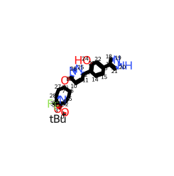 CC(C)(C)OC(=O)N1C2C[C@@H](Oc3ccc(-c4ccc(-c5cn[nH]c5)cc4O)nn3)CC1C(F)(F)C2